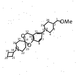 COCC1CCN(c2ccc3c(c2)COC2(CCN(C4CCC4)CC2)O3)CC1